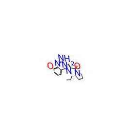 CCC[C@H]1CCCN1C(=O)c1cn2c(N)nc3c(OC)cccc3c2n1